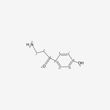 NCCC(=O)c1ccc(O)cc1